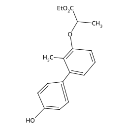 CCOC(=O)C(C)Oc1cccc(-c2ccc(O)cc2)c1C